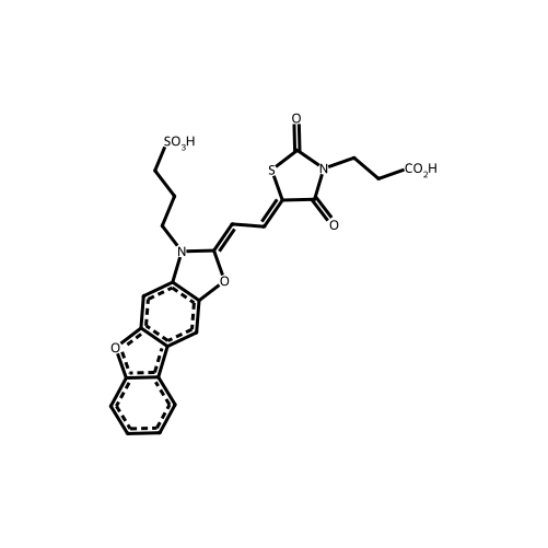 O=C(O)CCN1C(=O)SC(=CC=C2Oc3cc4c(cc3N2CCCS(=O)(=O)O)oc2ccccc24)C1=O